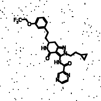 O=C(Nc1c2c(nn1CCC1CC1)C[C@H](CCc1cccc(OCC(F)(F)F)c1)NC2=O)c1cnccn1